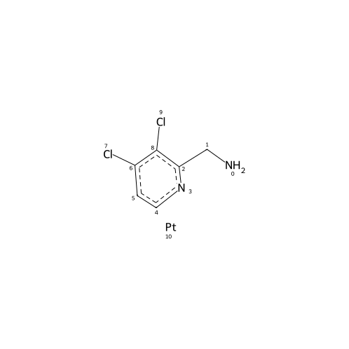 NCc1nccc(Cl)c1Cl.[Pt]